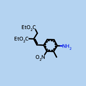 CCOC(=O)CC(=Cc1ccc(N)c(C)c1[N+](=O)[O-])C(=O)OCC